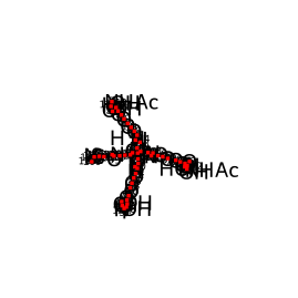 CC(=O)N[C@H]1[C@H]2OC[C@](COCCOCCOCCOCCn3cc(COCC(COCc4cn(CCOCCOCCOCCOC[C@@]56CO[C@H](O5)C(I)[C@@H](O)[C@H]6O)nn4)(COCc4cn(CCOCCOCCOCCO[C@@]56CO[C@@H](O5)[C@H](NC(C)=O)[C@@H](O)[C@H]6O)nn4)NC(=O)CCCCCNC(=O)CCCCCSSc4ccccn4)nn3)(O2)[C@H](O)[C@@H]1O